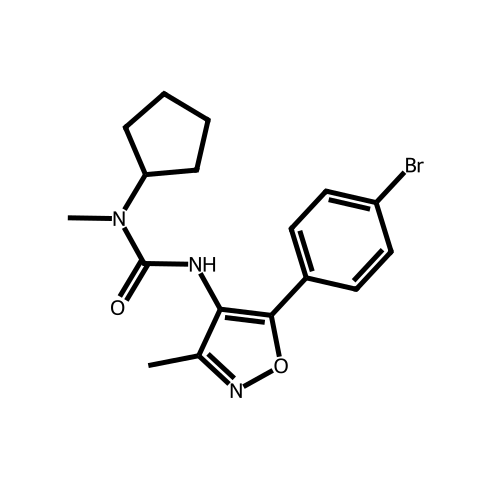 Cc1noc(-c2ccc(Br)cc2)c1NC(=O)N(C)C1CCCC1